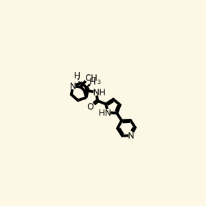 C[C@H]1[C@H](NC(=O)c2ccc(-c3ccncc3)[nH]2)C2CCN1CC2